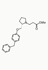 COC(=O)CCN1CCC[C@H]1COc1ccc(Cc2ccccc2)cc1